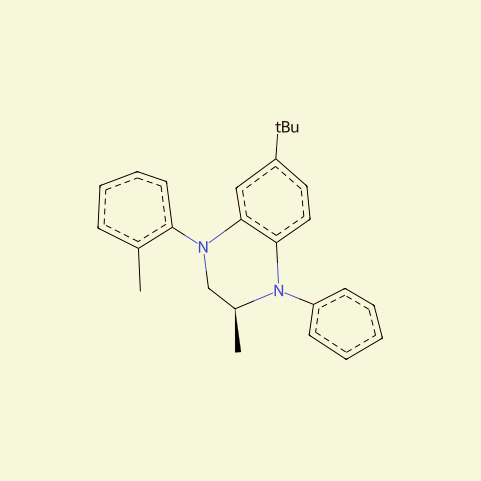 Cc1ccccc1N1C[C@H](C)N(c2ccccc2)c2ccc(C(C)(C)C)cc21